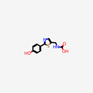 O=C(O)NCc1cnc(-c2ccc(O)cc2)s1